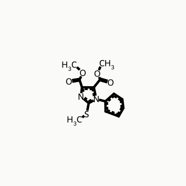 COC(=O)c1nc(SC)n(-c2ccccc2)c1C(=O)OC